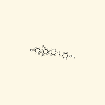 C[C@H]1CC[C@H](CC[C@H]2CC[C@H](c3cc(F)c(-c4ccc(Cl)cc4)c(F)c3)CC2)CC1